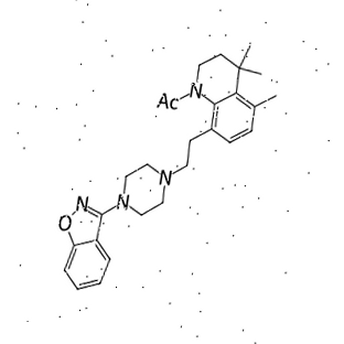 CC(=O)N1CCC(C)(C)c2c(C)ccc(CCN3CCN(c4noc5ccccc45)CC3)c21